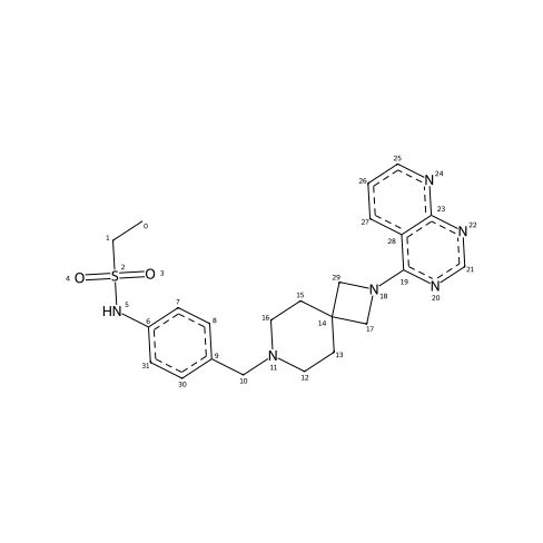 CCS(=O)(=O)Nc1ccc(CN2CCC3(CC2)CN(c2ncnc4ncccc24)C3)cc1